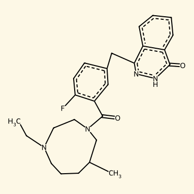 CCN1CCCC(C)CN(C(=O)c2cc(Cc3n[nH]c(=O)c4ccccc34)ccc2F)CC1